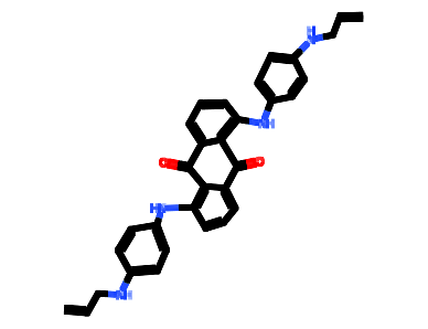 C=CCNc1ccc(Nc2cccc3c2C(=O)c2cccc(Nc4ccc(NCC=C)cc4)c2C3=O)cc1